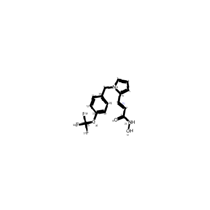 O=C(/C=C/c1cccn1Cc1ccc(OC(F)(F)F)cc1)NO